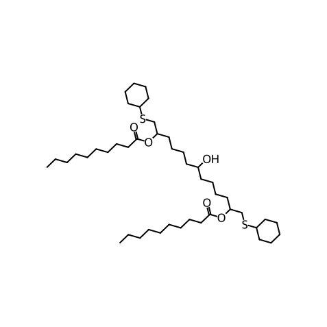 CCCCCCCCCC(=O)OC(CCCCC(O)CCCCC(CSC1CCCCC1)OC(=O)CCCCCCCCC)CSC1CCCCC1